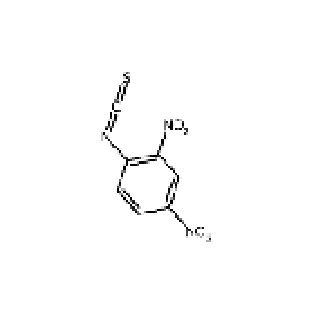 O=[N+]([O-])c1ccc(N=C=S)c([N+](=O)[O-])c1